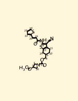 COC1CN(C(=O)OCC2CCc3c(sc(NC(=O)C=Cc4cccs4)c3C#N)C2)C1